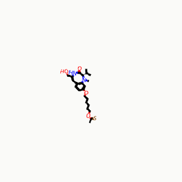 CC(=S)OCCCCCCOc1ccc2c(c1)N(C)[C@@H](C(C)C)C(=O)NC(CO)C2